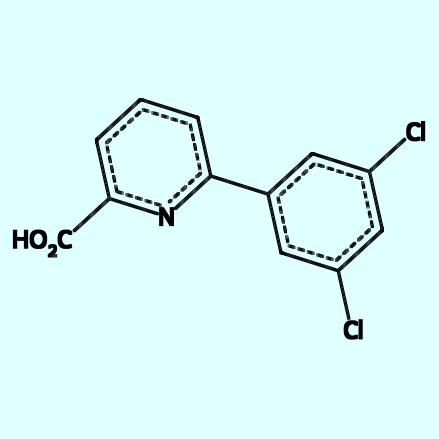 O=C(O)c1cccc(-c2cc(Cl)cc(Cl)c2)n1